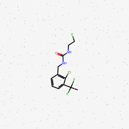 CC(F)(F)c1cccc(CNC(=O)NCCF)c1Cl